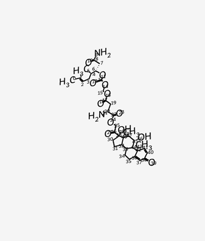 C/C=C/C[C@@H](C)[C@H](CC(N)=O)OC(=O)OCOC(=O)C[C@@H](N)C(=O)OCC(=O)[C@@]1(O)CCC2C3CCC4=CC(=O)C=C[C@]4(C)C3[C@@H](O)C[C@@]21C